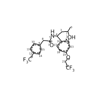 CC(O)CC(NC(=O)Cc1ccc(C(F)(F)F)cc1)c1ccc(OCC(F)(F)F)cn1